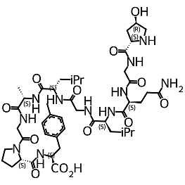 Cc1ccc(C[C@H](NC(=O)[C@@H]2CCCN2C(=O)CNC(=O)[C@H](C)NC(=O)[C@H](CC(C)C)NC(=O)CNC(=O)[C@H](CC(C)C)NC(=O)[C@H](CCC(N)=O)NC(=O)CNC(=O)[C@@H]2C[C@@H](O)CN2)C(=O)O)cc1